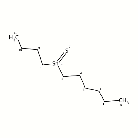 CCCCC[CH2][Sn](=[S])[CH2]CCC